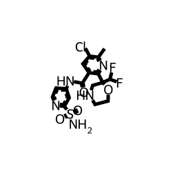 Cc1nc(C2(C(F)F)CNCCO2)c(C(=O)Nc2ccnc(S(N)(=O)=O)c2)cc1Cl